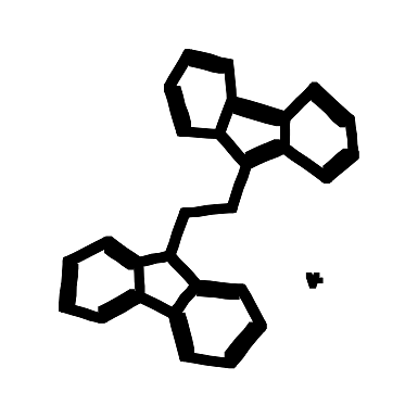 C1=CC2=c3ccccc3=C(CCC3c4ccccc4-c4ccccc43)C2C=C1.[V]